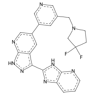 FC1(F)CCN(Cc2cncc(-c3cnc4[nH]nc(-c5nc6cccnc6[nH]5)c4c3)c2)C1